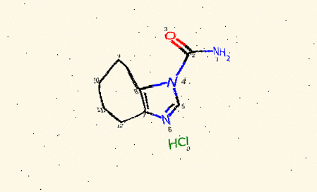 Cl.NC(=O)n1cnc2c1CC[CH]C2